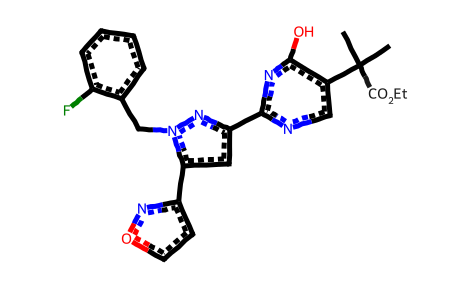 CCOC(=O)C(C)(C)c1cnc(-c2cc(-c3ccon3)n(Cc3ccccc3F)n2)nc1O